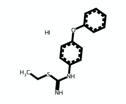 CCSC(=N)Nc1ccc(Oc2ccccc2)cc1.I